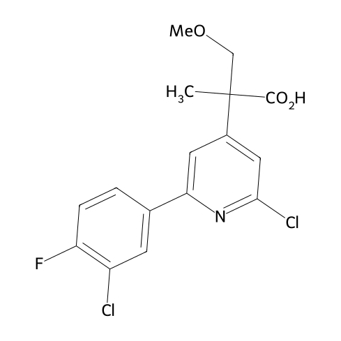 COCC(C)(C(=O)O)c1cc(Cl)nc(-c2ccc(F)c(Cl)c2)c1